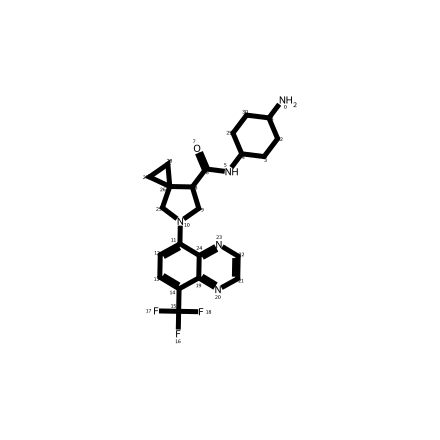 NC1CCC(NC(=O)C2CN(c3ccc(C(F)(F)F)c4nccnc34)CC23CC3)CC1